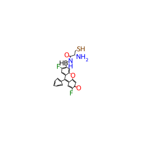 N[C@@H](CS)C(=O)NBc1cc2oc3cc(=O)c(F)cc-3c(-c3ccccc3)c2cc1F